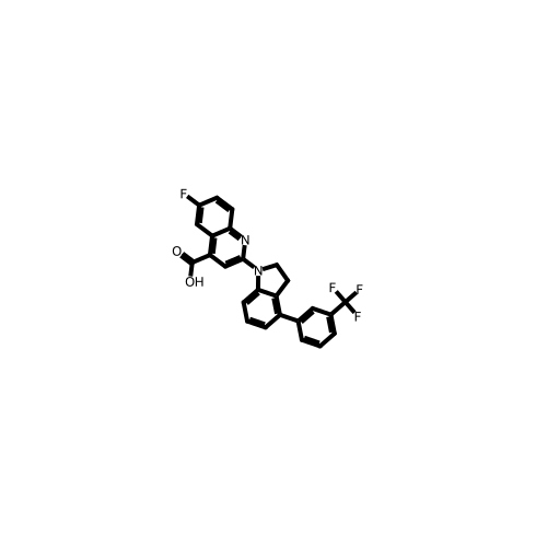 O=C(O)c1cc(N2CCc3c(-c4cccc(C(F)(F)F)c4)cccc32)nc2ccc(F)cc12